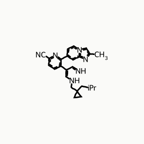 Cc1cn2ccc(-c3nc(C#N)ccc3/C(C=N)=C/NCC3(CC(C)C)CC3)cc2n1